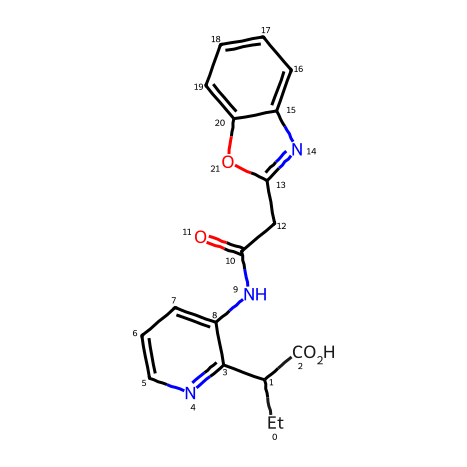 CCC(C(=O)O)c1ncccc1NC(=O)Cc1nc2ccccc2o1